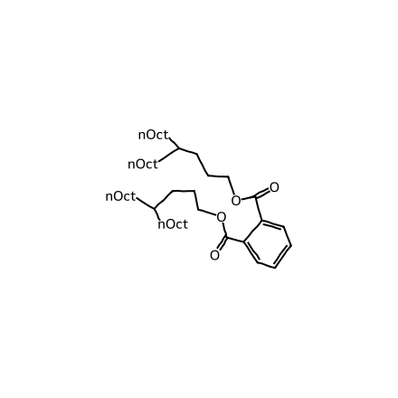 CCCCCCCCC(CCCCCCCC)CCCOC(=O)c1ccccc1C(=O)OCCCC(CCCCCCCC)CCCCCCCC